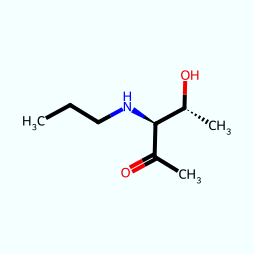 CCCN[C@H](C(C)=O)[C@@H](C)O